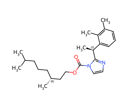 Cc1cccc([C@H](C)c2nccn2C(=O)OCC[C@H](C)CCCC(C)C)c1C